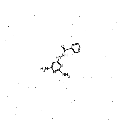 Nc1cc(NNC(=O)c2ccccc2)nc(N)n1